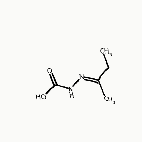 CCC(C)=NNC(=O)O